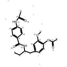 CCC(Cc1ccc(OC(C)=O)c(OC)c1)NC(=O)c1ccc(NC(C)=O)cc1